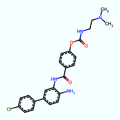 CN(C)CCNC(=O)Oc1ccc(C(=O)Nc2cc(-c3ccc(Cl)cc3)ccc2N)cc1